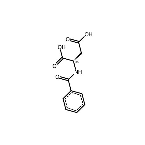 O=C(O)C[C@@H](NC(=O)c1ccccc1)C(=O)O